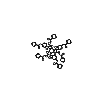 O=C(COC(=O)C1(N2CN(C3(C(=O)OCC(=O)c4ccccc4)Oc4cc(CC(=O)c5ccccc5)ccc43)CN(C3(C(=O)OCC(=O)c4ccccc4)Oc4cc(CC(=O)c5ccccc5)ccc43)C2)Oc2cc(CC(=O)c3ccccc3)ccc21)c1ccccc1